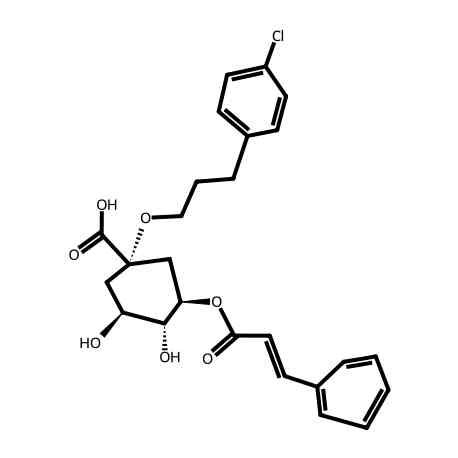 O=C(C=Cc1ccccc1)O[C@@H]1C[C@](OCCCc2ccc(Cl)cc2)(C(=O)O)C[C@H](O)[C@H]1O